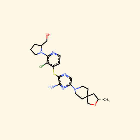 C[C@H]1CC2(CCN(c3cnc(Sc4ccnc(N5CCCC5CO)c4Cl)c(N)n3)CC2)CO1